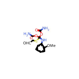 COc1ccccc1NC(OC(N)=O)(OC(N)=O)SCC=O